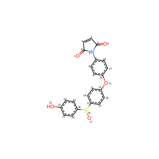 O=C1C=CC(=O)N1c1ccc(Oc2ccc([S+]([O-])c3ccc(O)cc3)cc2)cc1